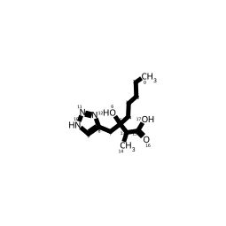 CCCCCC(O)(Cc1c[nH]nn1)C(C)C(=O)O